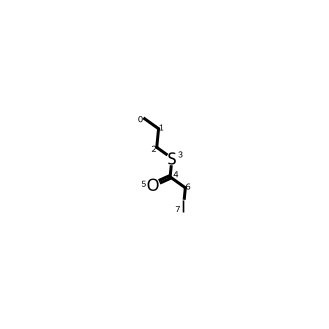 CCCSC(=O)CI